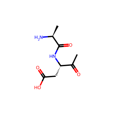 CC(=O)[C@H](CC(=O)O)NC(=O)[C@H](C)N